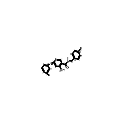 Cc1cccc(Nc2cc(C(C)C)c(C(=O)NCc3ccc(F)cc3)cn2)c1